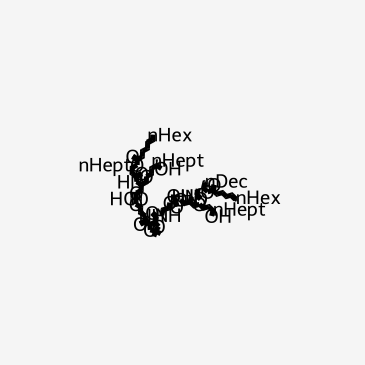 CCCCCC/C=C/CCCC(=O)O[C@H](CCCCCCC)CC(=O)NC(COCC[C@H](O)CCCCCCC)COP(=O)(O)OCCNC(=O)C1OC(C)(C)OC1C(=O)NCCOP(=O)(O)OCC(COCC[C@H](O)CCCCCCC)NC(=O)C[C@@H](CCCCCCCCCCC)OC(=O)CCC/C=C/CCCCCC